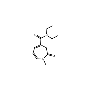 CCN(CC)C(=O)C1=CC=CN(C)C(=O)C1